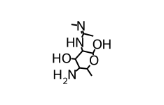 C/N=C(/C)NC1C(O)OC(C)C(N)C1O